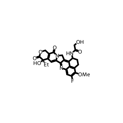 CC[C@@]1(O)C(=O)OCc2c1cc1n(c2=O)Cc2c-1nc1cc(F)c(OC)c3c1c2C(NC(=O)CO)CC3